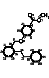 COC(=O)c1ccc(OCc2ccccc2CCc2ccccc2)cc1